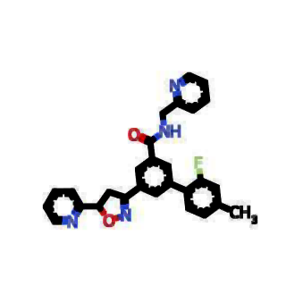 Cc1ccc(-c2cc(C(=O)NCc3ccccn3)cc(C3=NOC(c4ccccn4)C3)c2)c(F)c1